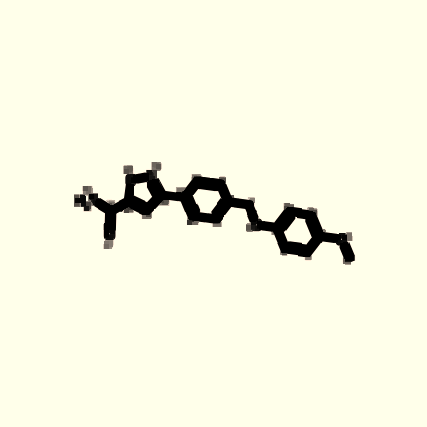 COc1ccc(OCc2ccc(-c3cc(C(N)=O)on3)cc2)cc1